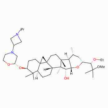 CCO[C@@H]([C@H]1C[C@@H](C)[C@H]2[C@H](O1)[C@H](O)[C@@]1(C)[C@@H]3CC[C@H]4C(C)(C)[C@@H](O[C@H]5CN(C6CN(C(C)C)C6)CCO5)CCC45C[C@@]35CC[C@]21C)C(C)(C)OC